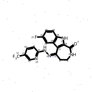 O=C1NCC/C(=N/Nc2ccc(C(F)(F)F)cn2)c2c1[nH]c1ccc(F)cc21